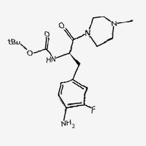 CN1CCN(C(=O)[C@@H](Cc2ccc(N)c(F)c2)NC(=O)OC(C)(C)C)CC1